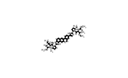 CC[C@H]1CC[C@@H](c2ncc(-c3ccc4c(c3)COc3cc5c(ccc6nc([C@@H]7CC[C@H](C)N7C(=O)[C@@H](NC(=O)OC)C(C)(C)CC)[nH]c65)cc3-4)[nH]2)N1C(=O)[C@@H](NC(=O)OC)[C@@H](C)OC